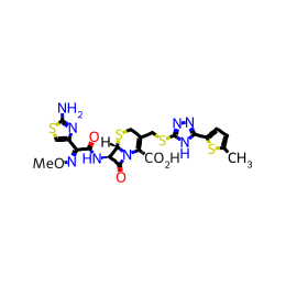 CON=C(C(=O)N[C@@H]1C(=O)N2C(C(=O)O)=C(CSc3nnc(-c4ccc(C)s4)[nH]3)CS[C@@H]12)c1csc(N)n1